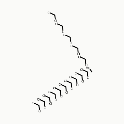 CC(C)=O.ClCCl.ClCCl.ClCCl.ClCCl.ClCCl.ClCCl.ClCCl.ClCCl.ClCCl.ClCCl.ClCCl.ClCCl.ClCCl.ClCCl.ClCCl